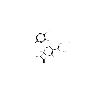 CON=C(OC)C1=C(C(=O)O)N2C(=O)[C@@H](N)[C@@H]2SC1.O=C(O)c1ccc(Cl)c(Cl)c1